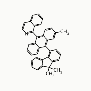 Cc1ccc2c(-c3nccc4ccccc34)c3ccccc3c(-c3cccc4c3-c3ccccc3C4(C)C)c2c1